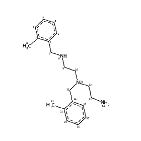 Cc1ccccc1CNCCN(CCN)Cc1ccccc1C